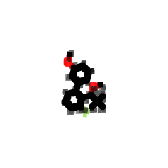 COc1cccc(-c2cccc(F)c2[C@@H](OC)C(C)(C)C)c1